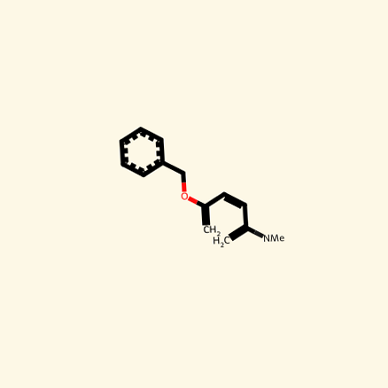 C=C(/C=C\C(=C)OCc1ccccc1)NC